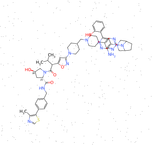 Cc1ncsc1-c1ccc(CNC(=O)[C@@H]2C[C@@H](O)CN2C(=O)C(c2cc(N3CCC(CN4CCC(c5cnc(N6C7CCC6CN(c6cc(-c8ccccc8O)nnc6N)C7)nc5)CC4)CC3)no2)C(C)C)cc1